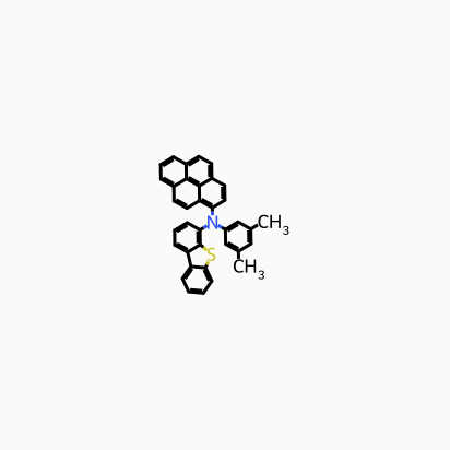 Cc1cc(C)cc(N(c2ccc3ccc4cccc5ccc2c3c45)c2cccc3c2sc2ccccc23)c1